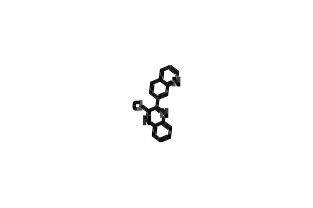 Clc1nc2ccccc2nc1-c1ccc2cccnc2c1